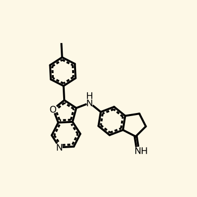 Cc1ccc(-c2oc3cnccc3c2Nc2ccc3c(c2)CCC3=N)cc1